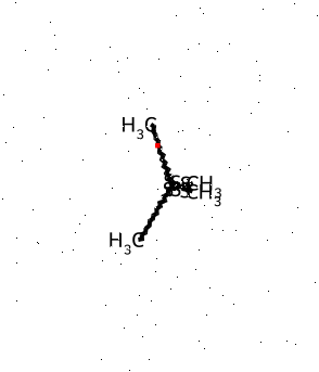 CCCCCCCCCCCCCCCCSC1=C(SCCCCCCCCCCCCCCCC)SC(=C2SC(C)=C(C)S2)S1